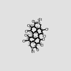 CCN1Cc2c(Cl)c(Cl)c3c4c(Cl)c(Cl)c5c6c(c(Cl)c(Cl)c(c7c(Cl)c(Cl)c(c2c37)C1=O)c64)CN(CC)C5=O